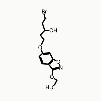 CCOc1noc2cc(OCCC(O)C[CH]Br)ccc12